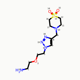 NCCOCCn1cc(CN2CCS(=O)(=O)CC2)nn1